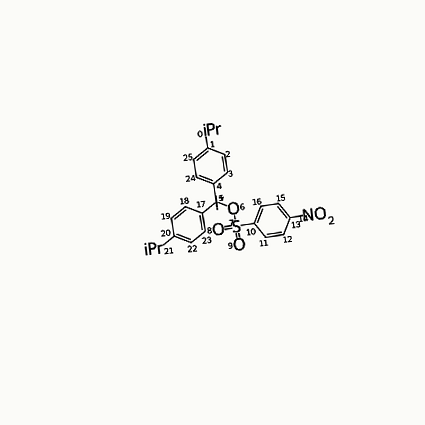 CC(C)c1ccc([I+](OS(=O)(=O)c2ccc([N+](=O)[O-])cc2)c2ccc(C(C)C)cc2)cc1